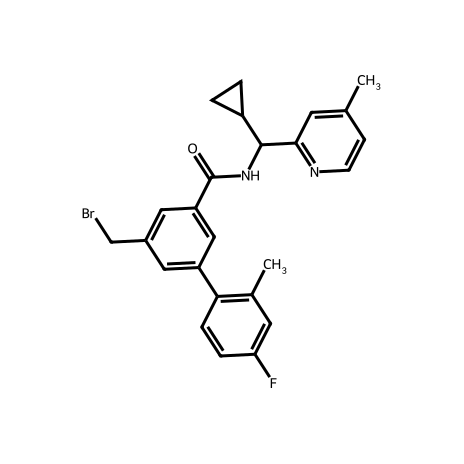 Cc1ccnc(C(NC(=O)c2cc(CBr)cc(-c3ccc(F)cc3C)c2)C2CC2)c1